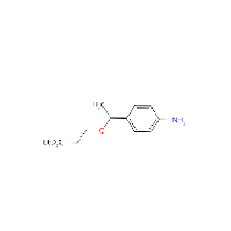 CCOC(=O)CCOC(C)c1ccc(N)cc1